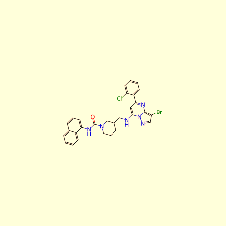 O=C(Nc1cccc2ccccc12)N1CCCC(CNc2cc(-c3ccccc3Cl)nc3c(Br)cnn23)C1